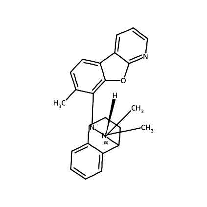 Cc1ccc2c(oc3ncccc32)c1N1C2CCC(c3ccccc32)N(C)[C@@H]1C